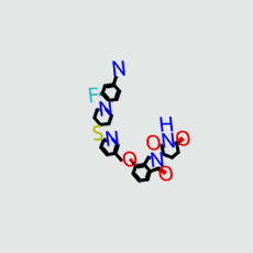 N#Cc1ccc(N2CCC(Sc3ccc(COc4cccc5c4CN(C4CCC(=O)NC4=O)C5=O)cn3)CC2)c(F)c1